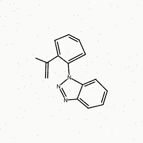 C=C(C)c1ccccc1-n1nnc2ccccc21